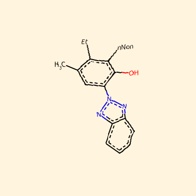 CCCCCCCCCc1c(O)c(-n2nc3ccccc3n2)cc(C)c1CC